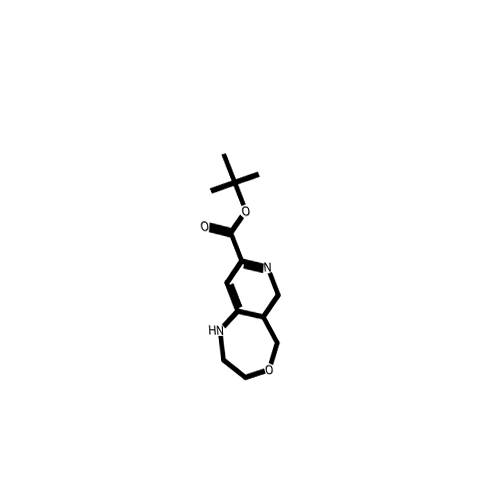 CC(C)(C)OC(=O)C1=NCC2COCCNC2=C1